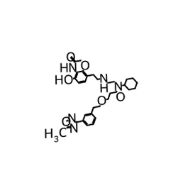 Cc1nc(-c2cccc(CCOCCC(=O)N(CCNCCc3ccc(O)c4c3OCC(=O)N4)C3CCCCC3)c2)no1